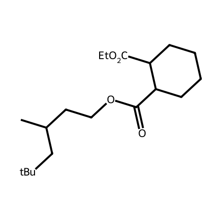 CCOC(=O)C1CCCCC1C(=O)OCCC(C)CC(C)(C)C